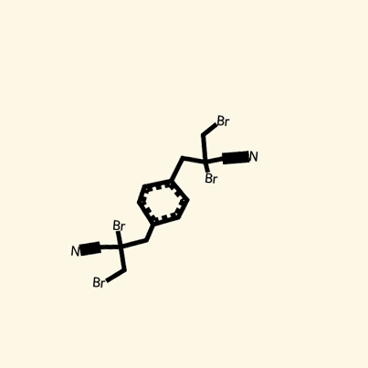 N#CC(Br)(CBr)Cc1ccc(CC(Br)(C#N)CBr)cc1